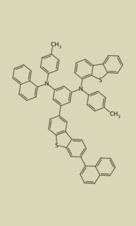 Cc1ccc(N(c2cc(-c3ccc4sc5cc(-c6cccc7ccccc67)ccc5c4c3)cc(N(c3ccc(C)cc3)c3cccc4c3sc3ccccc34)c2)c2cccc3ccccc23)cc1